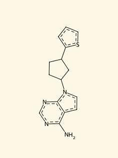 Nc1ncnc2c1ccn2C1CCC(c2cccs2)C1